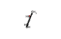 CCCCCCC(CO)CCCCCCCCCCCNCCO